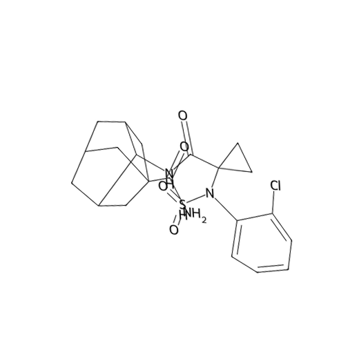 NC(=O)C12CC3CC(C1)C(NC(=O)C1(N(c4ccccc4Cl)[SH](=O)=O)CC1)C(C3)C2